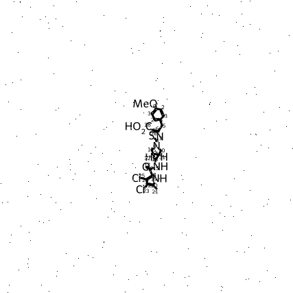 COc1ccc(Cc2nc(N3C[C@@H]4[C@H](C3)[C@@H]4NC(=O)c3[nH]c(C)c(Cl)c3Cl)sc2C(=O)O)cc1